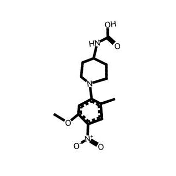 COc1cc(N2CCC(NC(=O)O)CC2)c(C)cc1[N+](=O)[O-]